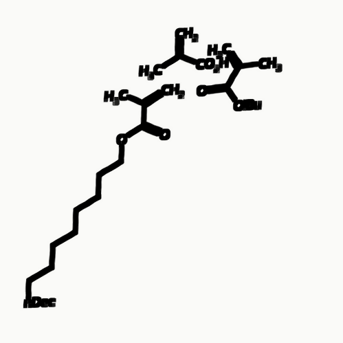 C=C(C)C(=O)O.C=C(C)C(=O)OCC(C)C.C=C(C)C(=O)OCCCCCCCCCCCCCCCCCC